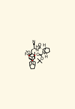 CCC(COC)N1CC2CCC(C1)N2c1ccc(C[C@@H](C#N)NC(=O)[C@@H]2[C@H]3CC[C@H](C3)N2C(=O)OC(C)(C)C)c(F)c1